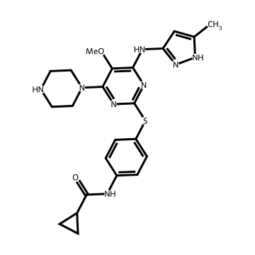 COc1c(Nc2cc(C)[nH]n2)nc(Sc2ccc(NC(=O)C3CC3)cc2)nc1N1CCNCC1